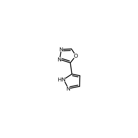 c1cc(-c2nnco2)[nH]n1